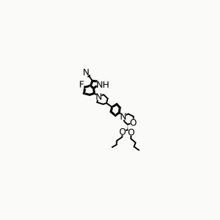 CCCCOC(OCCCC)[C@@H]1CN(c2ccc(C3CCN(c4ccc(F)c5c(C#N)c[nH]c45)CC3)cc2)CCO1